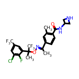 C/C(=N\OC(C)(c1cc(C(F)(F)F)cc(Cl)c1F)C(F)(F)F)c1ccc(C(=O)NC2CNC2)c(C)c1